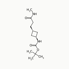 CNC(=O)CC[C@H]1C[C@@H](NC(=O)OC(C)(C)C)C1